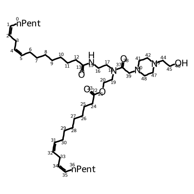 CCCCC/C=C\C/C=C\CCCCCCCC(=O)NCCN(CCOC(=O)CCCCCCC/C=C\C/C=C\CCCCC)C(=O)CN1CCN(CCO)CC1